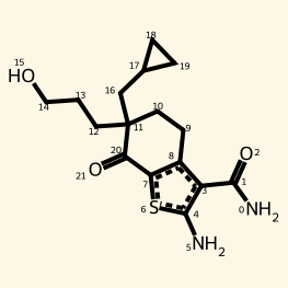 NC(=O)c1c(N)sc2c1CCC(CCCO)(CC1CC1)C2=O